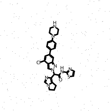 O=C(Nc1nccs1)C(c1ncn2c1CCC2)n1cc2c(Cl)cc(-c3ccc(N4CCNCC4)cc3)cc2n1